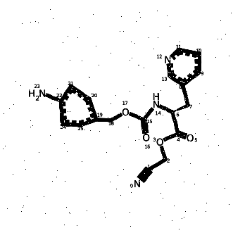 N#CCOC(=O)[C@H](Cc1cccnc1)NC(=O)OCc1ccc(N)cc1